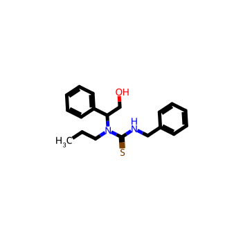 CCCN(C(=S)NCc1ccccc1)C(CO)c1ccccc1